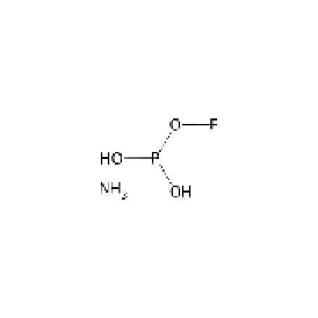 N.OP(O)OF